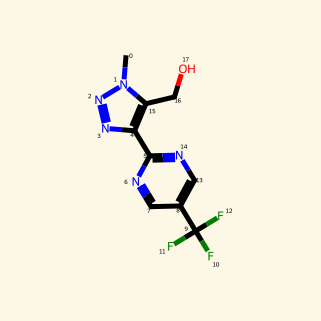 Cn1nnc(-c2ncc(C(F)(F)F)cn2)c1CO